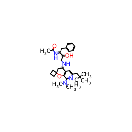 CC(=O)N[C@@H](Cc1ccccc1)[C@H](O)CN[C@H]1CC2(CCC2)Oc2c1cc(CC(C)(C)C)nc2N(C)C